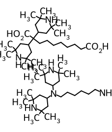 CC1(C)CC(C(CCCCCCCC(=O)O)(C(=O)O)C2CC(C)(C)NC(C)(C)C2)CC(C)(C)N1.CC1(C)CC(N(CCCCCCN)C2CC(C)(C)NC(C)(C)C2)CC(C)(C)N1